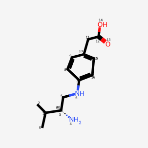 CC(C)[C@@H](N)CNc1ccc(CC(=O)O)cc1